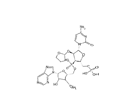 Nc1ccn([C@@H]2O[C@H](COP(=O)(O)O)[C@@H](P(=O)(O)OC[C@H]3O[C@@H](n4cnc5cncnc54)C(O)C3O)[C@H]2OC2CCCO2)c(=O)n1